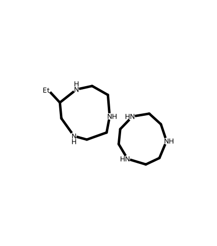 C1CNCCNCCN1.CCC1CNCCNCCN1